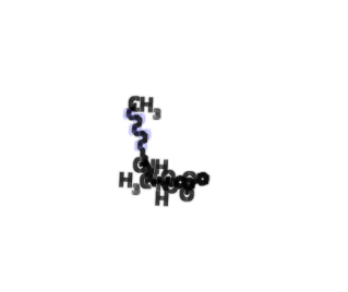 CC/C=C\C/C=C\C/C=C\C/C=C\C/C=C\CCCC(=O)NCCN(C)CCNC(=O)Oc1ccc2oc(-c3ccccc3)cc(=O)c2c1